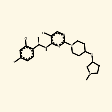 C[C@@H](Nc1nc(N2CCC(O[C@H]3CCN(C)C3)CC2)ncc1Cl)c1ccc(Cl)cc1Cl